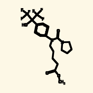 COC(=O)CCCCN(C(=O)N1CCCC1)c1ccc(C(O)(C(F)(F)F)C(F)(F)F)cc1